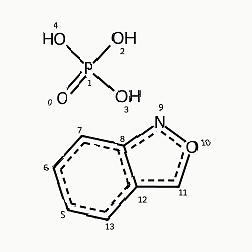 O=P(O)(O)O.c1ccc2nocc2c1